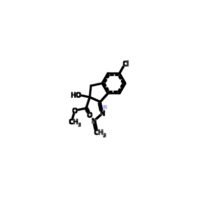 C=N/N=C1/c2ccc(Cl)cc2CC1(O)C(=O)OC